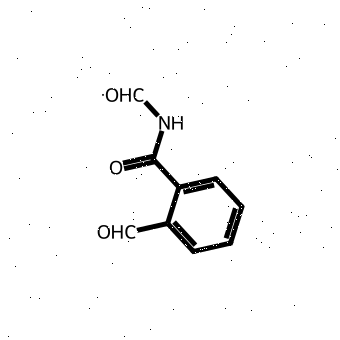 O=[C]NC(=O)c1ccccc1C=O